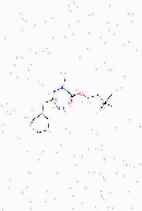 CN(C[C@H](N)CC1CCCOC1)C(=O)OCC[Si](C)(C)C